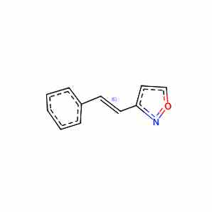 C(=C\c1ccon1)/c1ccccc1